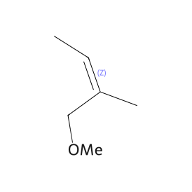 C/C=C(/C)COC